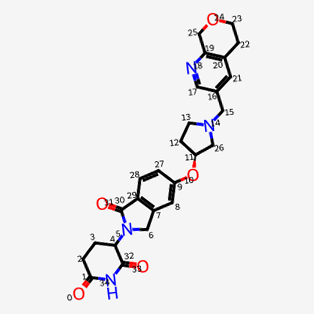 O=C1CCC(N2Cc3cc(O[C@H]4CCN(Cc5cnc6c(c5)CCOC6)C4)ccc3C2=O)C(=O)N1